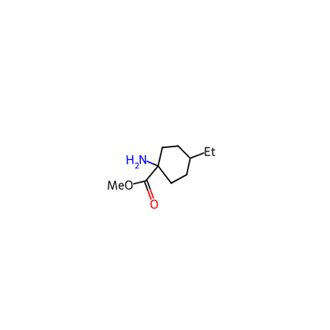 CCC1CCC(N)(C(=O)OC)CC1